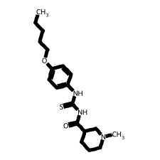 CCCCCOc1ccc(NC(=S)NC(=O)C2CCCN(C)C2)cc1